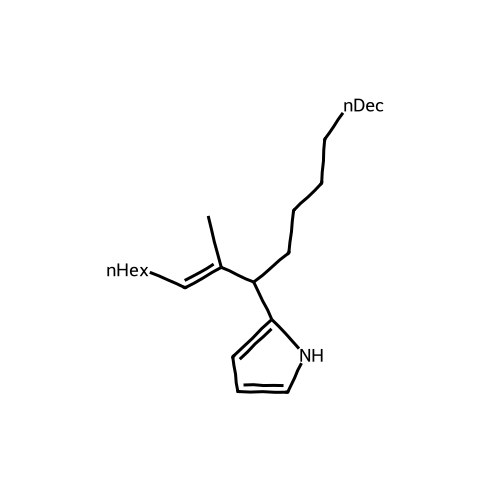 CCCCCCC=C(C)C(CCCCCCCCCCCCCC)c1ccc[nH]1